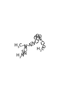 CCCN(CCN1CCN(c2ccc3c(c2)C2(OCCO2)C(=O)N3Cc2ccc(OC)cc2)CC1)[C@H]1CCc2nc(N)sc2C1